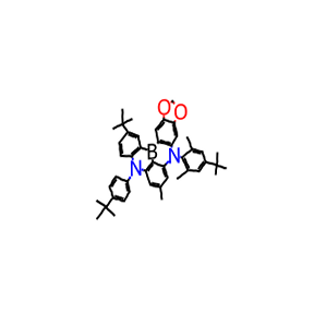 Cc1cc2c3c(c1)N(c1c(C)cc(C(C)(C)C)cc1C)c1cc4c(cc1B3c1cc(C(C)(C)C)ccc1N2c1ccc(C(C)(C)C)cc1)OCO4